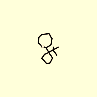 CC(C)(C)C1([C]2CCCCCCC2)CCCCC1